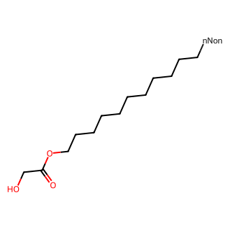 CCCCCCCCCCCCCCCCCCCCOC(=O)CO